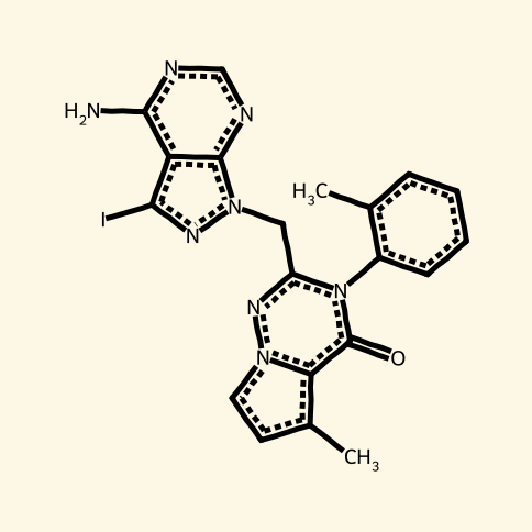 Cc1ccccc1-n1c(Cn2nc(I)c3c(N)ncnc32)nn2ccc(C)c2c1=O